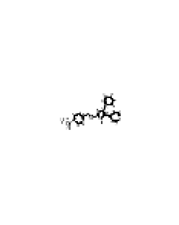 C[S+]([O-])c1ccc(CSc2nc(-c3ccccc3)c(-c3ccncc3)[nH]2)cc1